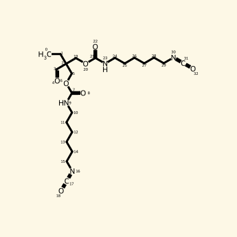 CCC(C=O)(COC(=O)NCCCCCCN=C=O)COC(=O)NCCCCCCN=C=O